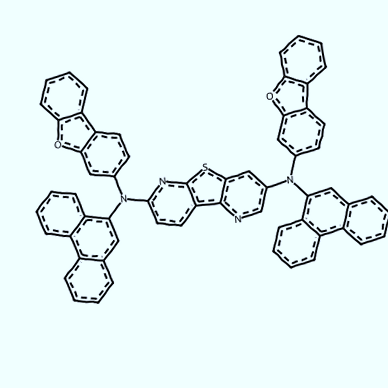 c1ccc2c(c1)cc(N(c1ccc3c(c1)oc1ccccc13)c1cnc3c(c1)sc1nc(N(c4ccc5c(c4)oc4ccccc45)c4cc5ccccc5c5ccccc45)ccc13)c1ccccc12